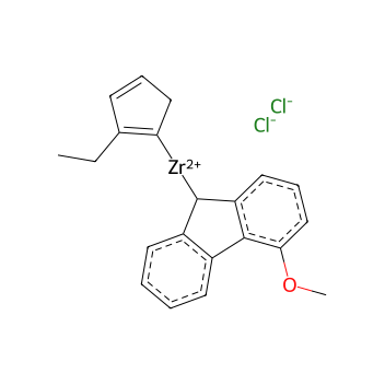 CCC1=[C]([Zr+2][CH]2c3ccccc3-c3c(OC)cccc32)CC=C1.[Cl-].[Cl-]